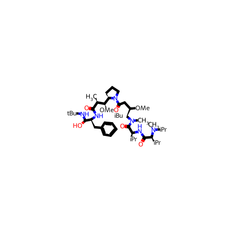 CC[C@H](C)[C@@H](C(CC(=O)N1CCC[C@H]1[C@H](OC)[C@@H](C)C(=O)N[C@@H](Cc1ccccc1)C(O)NC(C)(C)C)OC)N(C)C(=O)[C@@H](NC(=O)[C@H](C(C)C)N(C)C(C)C)C(C)C